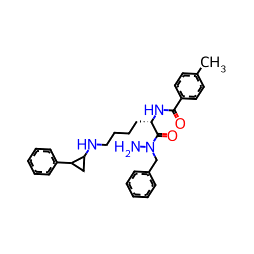 Cc1ccc(C(=O)N[C@@H](CCCCNC2CC2c2ccccc2)C(=O)N(N)Cc2ccccc2)cc1